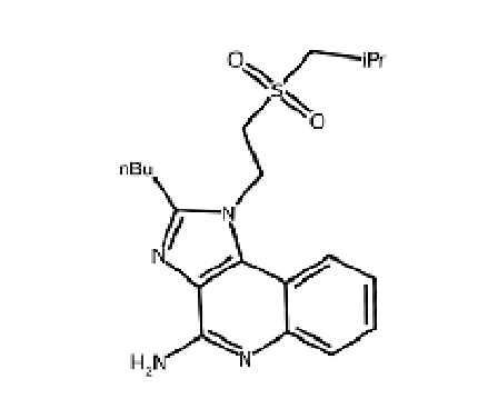 CCCCc1nc2c(N)nc3ccccc3c2n1CCS(=O)(=O)CC(C)C